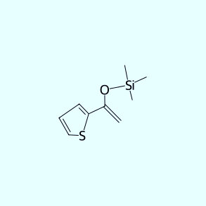 C=C(O[Si](C)(C)C)c1cccs1